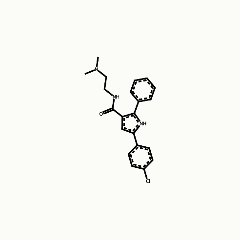 CN(C)CCNC(=O)c1cc(-c2ccc(Cl)cc2)[nH]c1-c1ccccc1